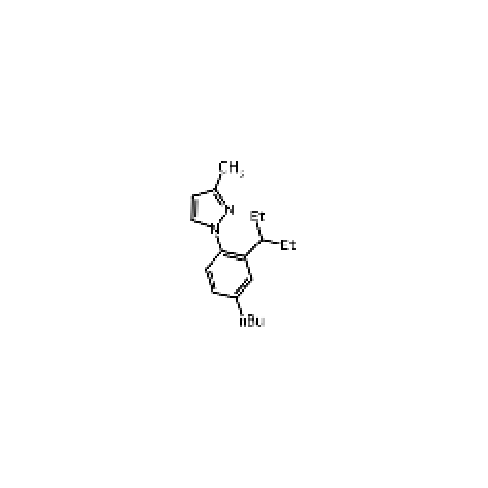 CCCCc1ccc(-n2ccc(C)n2)c(C(CC)CC)c1